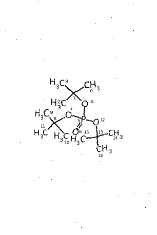 CC(C)(C)OP(=O)(OC(C)(C)C)OC(C)(C)C